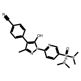 Cc1nn(-c2ccc([SH](=O)(N(C)C)N(C)C)cn2)c(O)c1-c1ccc(C#N)cc1